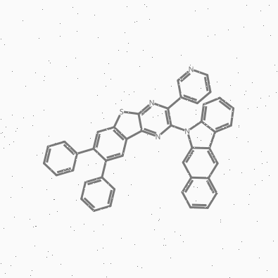 c1ccc(-c2cc3sc4nc(-c5cccnc5)c(-n5c6ccccc6c6cc7ccccc7cc65)nc4c3cc2-c2ccccc2)cc1